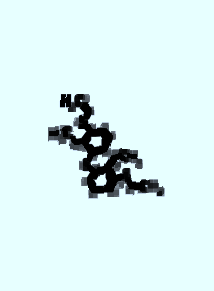 C=CSc1cccc(Sc2cccc(SC=C)c2CC)c1CC